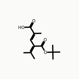 CC(=CC(C(=O)OC(C)(C)C)=C(C)C)C(=O)O